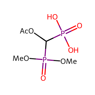 COP(=O)(OC)C(OC(C)=O)P(=O)(O)O